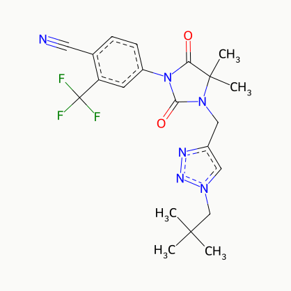 CC(C)(C)Cn1cc(CN2C(=O)N(c3ccc(C#N)c(C(F)(F)F)c3)C(=O)C2(C)C)nn1